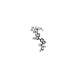 CC(C)(C)CNc1ncc2c(-c3ccn4ncc(C(=O)NCC(F)F)c4c3)c[nH]c2n1